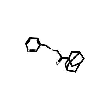 O=C(COCc1cccnc1)C12CC3CC(CC(C3)C1)C2